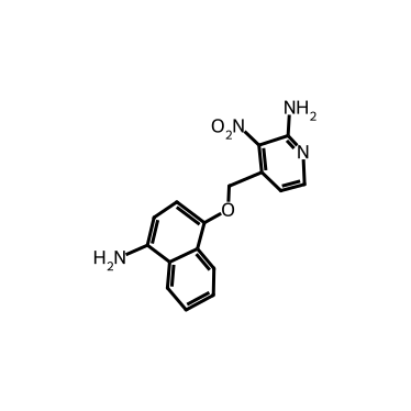 Nc1nccc(COc2ccc(N)c3ccccc23)c1[N+](=O)[O-]